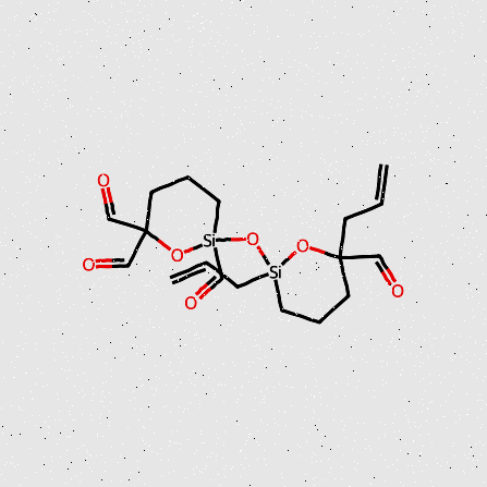 C=CCC1(C=O)CCC[Si](CC=C)(O[Si]2(C=O)CCCC(C=O)(C=O)O2)O1